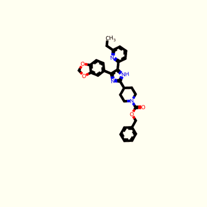 CCc1cccc(-c2[nH]c(C3CCN(C(=O)OCc4ccccc4)CC3)nc2-c2ccc3c(c2)OCO3)n1